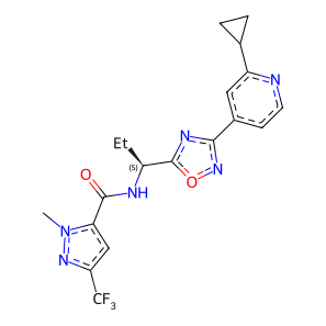 CC[C@H](NC(=O)c1cc(C(F)(F)F)nn1C)c1nc(-c2ccnc(C3CC3)c2)no1